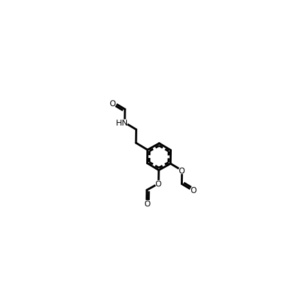 O=CNCCc1ccc(OC=O)c(OC=O)c1